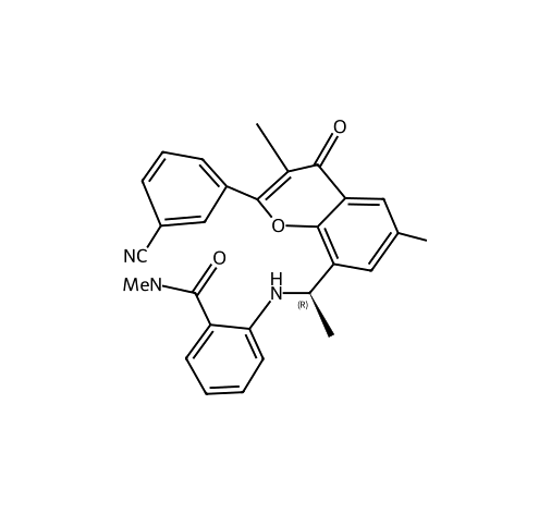 CNC(=O)c1ccccc1N[C@H](C)c1cc(C)cc2c(=O)c(C)c(-c3cccc(C#N)c3)oc12